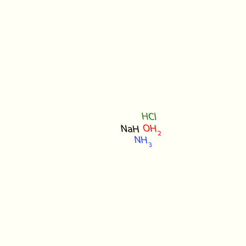 Cl.N.O.[NaH]